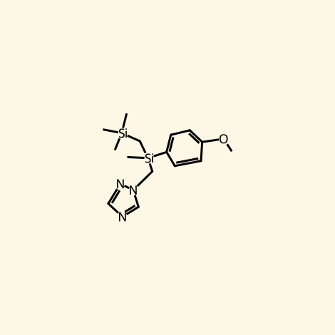 COc1ccc([Si](C)(Cn2cncn2)C[Si](C)(C)C)cc1